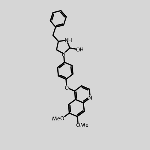 COc1cc2nccc(Oc3ccc(N4CC(Cc5ccccc5)NC4O)cc3)c2cc1OC